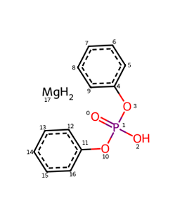 O=P(O)(Oc1ccccc1)Oc1ccccc1.[MgH2]